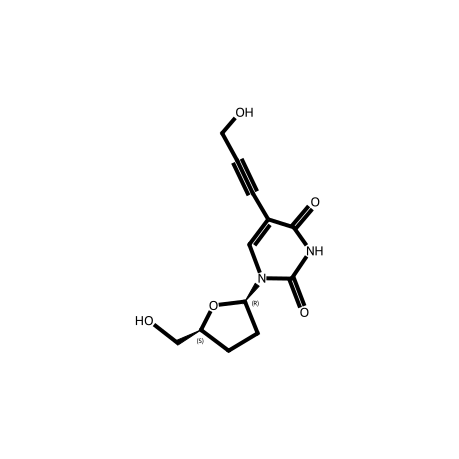 O=c1[nH]c(=O)n([C@H]2CC[C@@H](CO)O2)cc1C#CCO